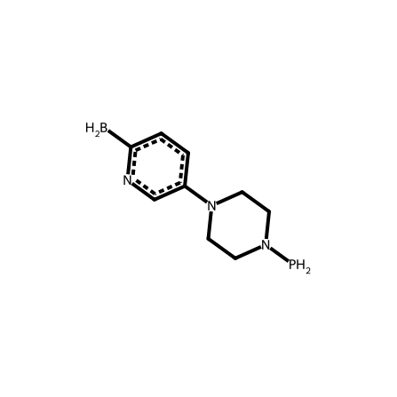 Bc1ccc(N2CCN(P)CC2)cn1